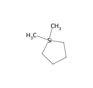 C[Si]1(C)CCCC1